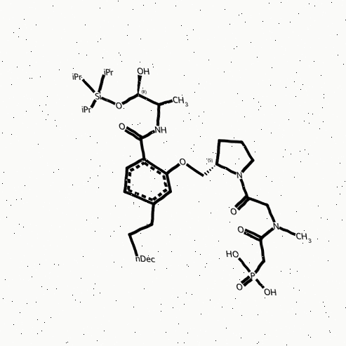 CCCCCCCCCCCCc1ccc(C(=O)NC(C)[C@H](O)O[Si](C(C)C)(C(C)C)C(C)C)c(OC[C@@H]2CCCN2C(=O)CN(C)C(=O)CP(=O)(O)O)c1